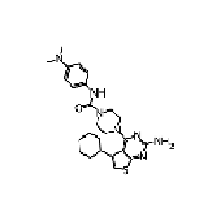 CN(C)c1ccc(NC(=O)N2CCN(c3nc(N)nc4scc(C5CCCCC5)c34)CC2)cc1